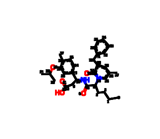 CCCCC(C(=O)N[C@@H](CC(=O)O)c1ccc(C)c(OC(C)C)c1)n1cc(C)cc(Cc2ccccc2)c1=O